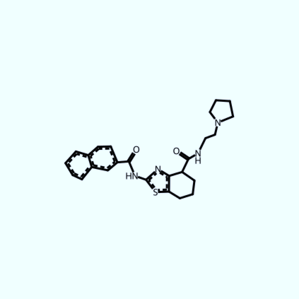 O=C(Nc1nc2c(s1)CCCC2C(=O)NCCN1CCCC1)c1ccc2ccccc2c1